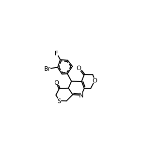 O=C1COCC2=C1C(c1ccc(F)c(Br)c1)C1C(=O)CSCC1=N2